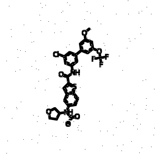 COc1cc(OC(F)(F)F)cc(-c2cc(Cl)cc(NC(=O)c3cc4cc(N(C5CCOC5)[SH](=O)=O)ccc4s3)c2)c1